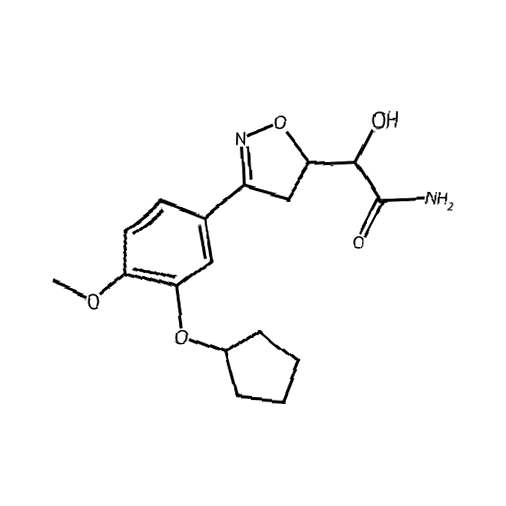 COc1ccc(C2=NOC(C(O)C(N)=O)C2)cc1OC1CCCC1